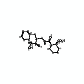 O=C(NO)C(CNC(=O)[C@@H]1CCCC[C@@H]1C(=O)O)Cc1ccccc1